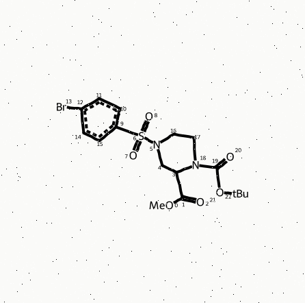 COC(=O)C1CN(S(=O)(=O)c2ccc(Br)cc2)CCN1C(=O)OC(C)(C)C